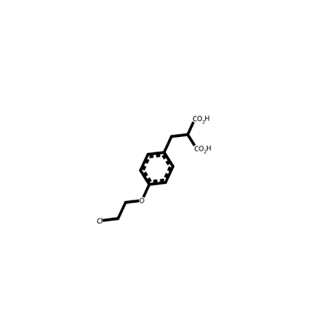 O=C(O)C(Cc1ccc(OCCCl)cc1)C(=O)O